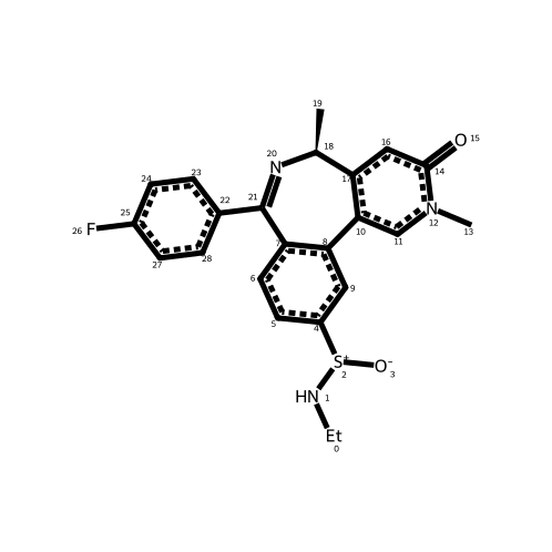 CCN[S+]([O-])c1ccc2c(c1)-c1cn(C)c(=O)cc1[C@H](C)N=C2c1ccc(F)cc1